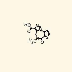 CN1Cc2c(C(=O)O)ncn2-c2ccsc2C1=O